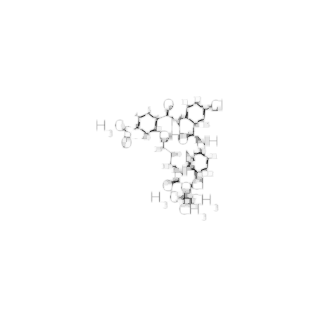 C[S+]([O-])c1ccc(C(=O)Nc2ccc(Cl)cc2C(=O)Nc2ccc(Cl)cn2)c(OCCCNC(=O)OC(C)(C)C)c1